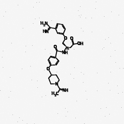 CC(=N)N1CCC(Oc2ccc(C(=O)N[C@@H](COc3cccc(C(=N)N)c3)CC(=O)O)cc2)CC1